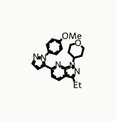 CCc1nn(C2CCOCC2)c2nc(-c3ccnn3-c3ccc(OC)cc3)ccc12